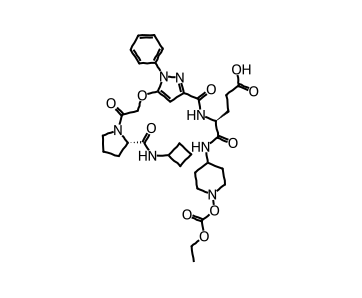 CCOC(=O)ON1CCC(NC(=O)[C@H](CCC(=O)O)NC(=O)c2cc(OCC(=O)N3CCC[C@H]3C(=O)NC3CCC3)n(-c3ccccc3)n2)CC1